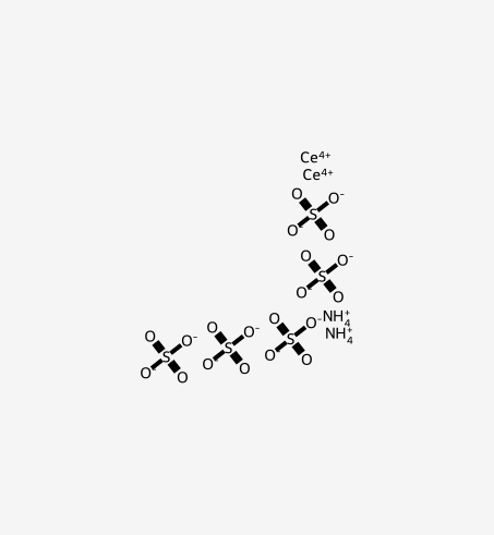 O=S(=O)([O-])[O-].O=S(=O)([O-])[O-].O=S(=O)([O-])[O-].O=S(=O)([O-])[O-].O=S(=O)([O-])[O-].[Ce+4].[Ce+4].[NH4+].[NH4+]